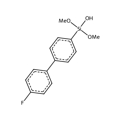 CO[Si](O)(OC)c1ccc(-c2ccc(F)cc2)cc1